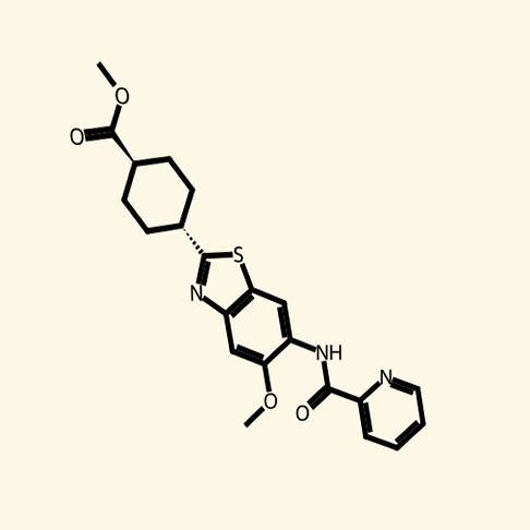 COc1cc2nc([C@H]3CC[C@H](C(=O)OC)CC3)sc2cc1NC(=O)c1ccccn1